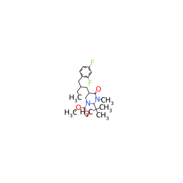 CCC(Cc1ccc(F)cc1F)CC1CN(C(=O)OC)C(C(C)(C)C)N(C)C1=O